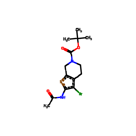 CC(=O)Nc1sc2c(c1Br)CCN(C(=O)OC(C)(C)C)C2